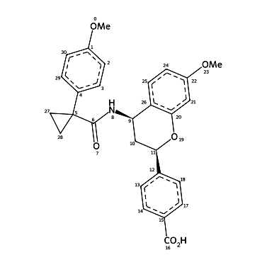 COc1ccc(C2(C(=O)N[C@@H]3C[C@H](c4ccc(C(=O)O)cc4)Oc4cc(OC)ccc43)CC2)cc1